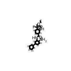 CCOP(=O)(O)C(C)(F)c1ccc(C(=O)Nc2cc(-c3ccccc3)ccc2N)cc1